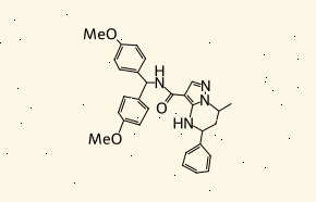 COc1ccc(C(NC(=O)c2cnn3c2NC(c2ccccc2)CC3C)c2ccc(OC)cc2)cc1